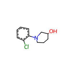 OC1CCCN(c2ccccc2Cl)C1